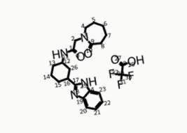 O=C(CN1CCCCCC1=O)NC1CCCC(c2nc3ccccc3[nH]2)C1.O=C(O)C(F)(F)F